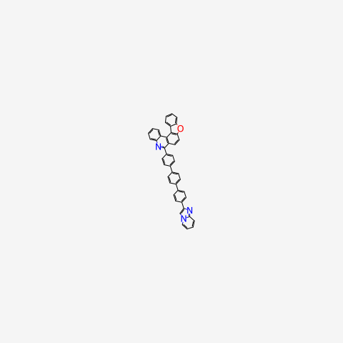 c1ccc2c(c1)nc(-c1ccc(-c3ccc(-c4ccc(-c5cn6ccccc6n5)cc4)cc3)cc1)c1ccc3oc4ccccc4c3c12